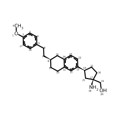 COc1ccc(CC[C@@H]2CCc3cc([C@H]4CC[C@](N)(CO)C4)ccc3C2)cc1